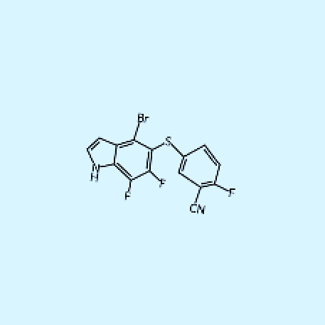 N#Cc1cc(Sc2c(F)c(F)c3[nH]ccc3c2Br)ccc1F